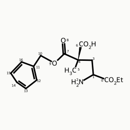 CCOC(=O)C(N)C[C@@](C)(C(=O)O)C(=O)OCc1ccccc1